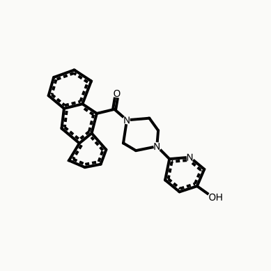 O=C(c1c2ccccc2cc2ccccc12)N1CCN(c2ccc(O)cn2)CC1